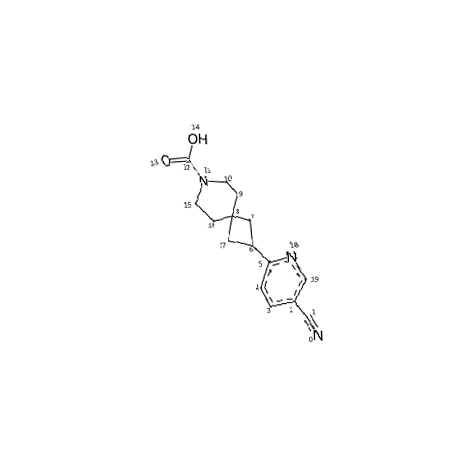 N#Cc1ccc(C2CC3(CCN(C(=O)O)CC3)C2)nc1